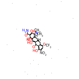 CN(C)[C@@H]1C(O)=C(C(N)=O)C(=O)[C@@]2(O)C(O)=C3C(=O)c4c(O)c([N+](=O)[O-])cc(OC(F)(F)F)c4C[C@H]3C[C@@H]12